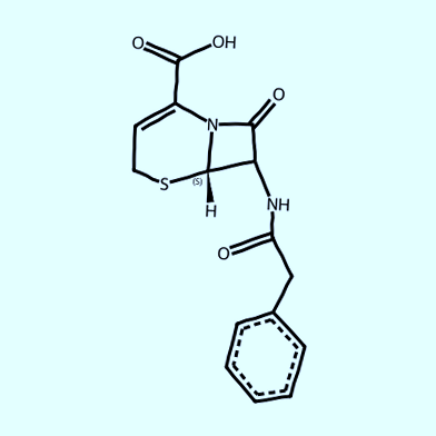 O=C(Cc1ccccc1)NC1C(=O)N2C(C(=O)O)=CCS[C@@H]12